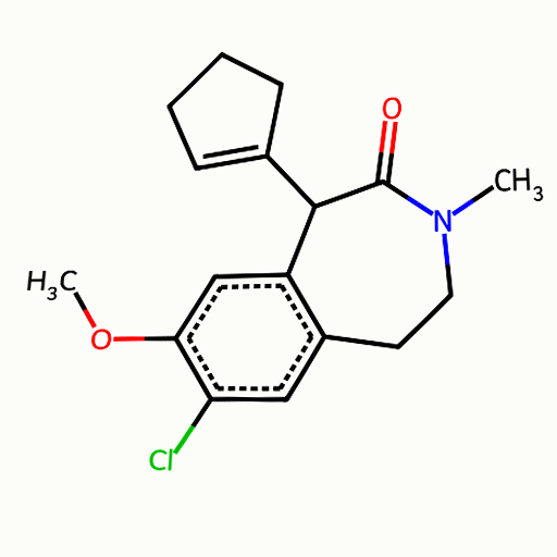 COc1cc2c(cc1Cl)CCN(C)C(=O)C2C1=CCCC1